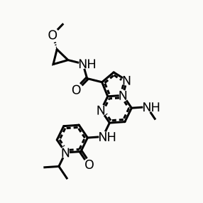 CNc1cc(Nc2cccn(C(C)C)c2=O)nc2c(C(=O)NC3C[C@@H]3OC)cnn12